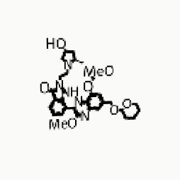 COCOc1cc(COC2CCCCO2)cc2nc(OC)c(-c3cccc4c(=O)n(CCN5C[C@H](O)C[C@H]5C)[nH]c34)nc12